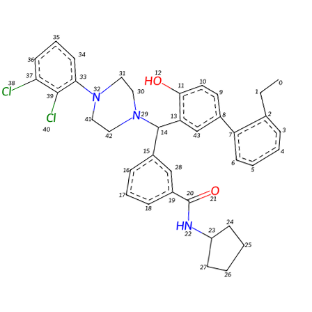 CCc1ccccc1-c1ccc(O)c(C(c2cccc(C(=O)NC3CCCC3)c2)N2CCN(c3cccc(Cl)c3Cl)CC2)c1